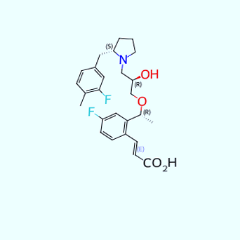 Cc1ccc(C[C@@H]2CCCN2C[C@@H](O)CO[C@H](C)c2cc(F)ccc2/C=C/C(=O)O)cc1F